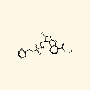 C=C(C(=O)O)c1cccc2c1OC1CC(O)C(CNS(=O)(=O)CCc3ccccc3)C21